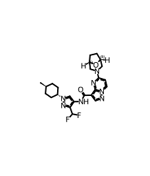 C[C@H]1CC[C@H](n2cc(NC(=O)c3cnn4ccc(N5C[C@H]6CC[C@@H](C5)O6)nc34)c(C(F)F)n2)CC1